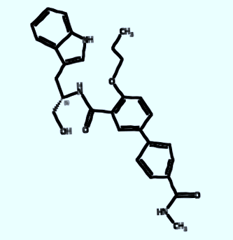 CCCOc1ccc(-c2ccc(C(=O)NC)cc2)cc1C(=O)N[C@H](CO)Cc1c[nH]c2ccccc12